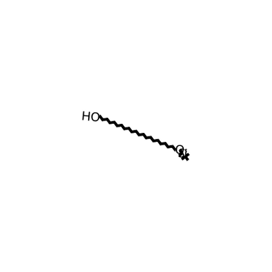 CC(C)(C)[Si](C)(C)OCCCCCCCCCCCCCCCCCCCCCCO